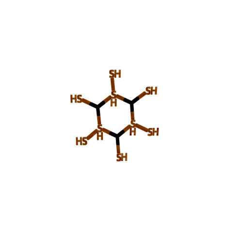 SC1[SH](S)C(S)[SH](S)C(S)[SH]1S